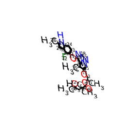 CC(=O)CC(C)(C)C(=O)O[C@H](C)COc1cn2ncnc(Oc3ccc4[nH]c(C)cc4c3F)c2c1C